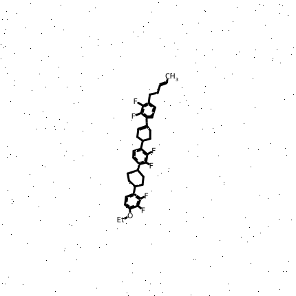 C/C=C/CCc1ccc(C2=CCC(c3ccc(C4CCC(c5ccc(OCC)c(F)c5F)CC4)c(F)c3F)CC2)c(F)c1F